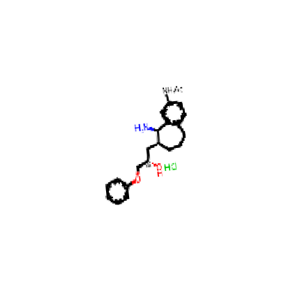 CC(=O)Nc1ccc2c(c1)C(N)C(C[C@H](O)COc1ccccc1)CCC2.Cl